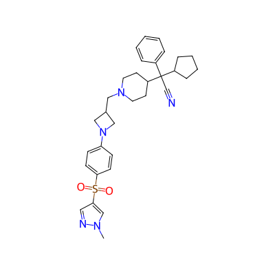 Cn1cc(S(=O)(=O)c2ccc(N3CC(CN4CCC(C(C#N)(c5ccccc5)C5CCCC5)CC4)C3)cc2)cn1